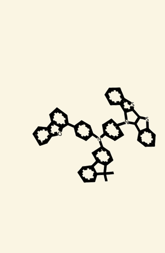 CC1(C)c2ccccc2-c2cc(N(c3ccc(-c4cccc5c4oc4ccccc45)cc3)c3ccc(N4c5c(sc6ccccc56)C5Sc6ccccc6C54)cc3)ccc21